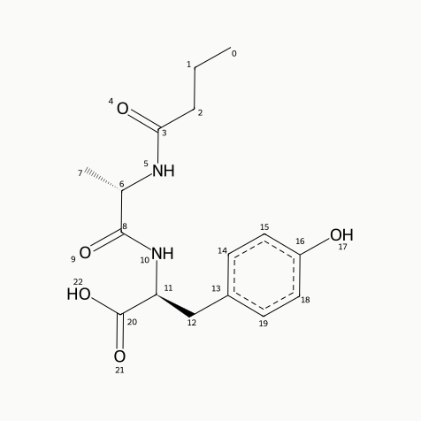 CCCC(=O)N[C@@H](C)C(=O)N[C@@H](Cc1ccc(O)cc1)C(=O)O